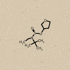 CCN(S(=O)OC1CCOC1)C(C)(C)C